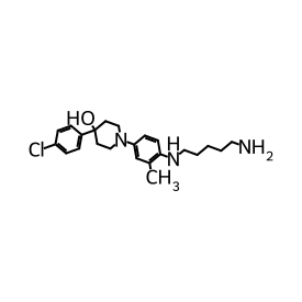 Cc1cc(N2CCC(O)(c3ccc(Cl)cc3)CC2)ccc1NCCCCCN